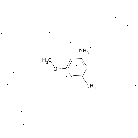 COc1cccc(C)c1.N